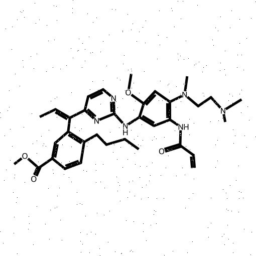 C=CC(=O)Nc1cc(Nc2nccc(/C(=C/C)c3cc(C(=O)OC)ccc3CCCC)n2)c(OC)cc1N(C)CCN(C)C